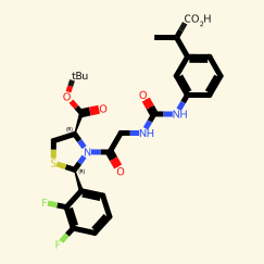 CC(C(=O)O)c1cccc(NC(=O)NCC(=O)N2[C@@H](c3cccc(F)c3F)SC[C@H]2C(=O)OC(C)(C)C)c1